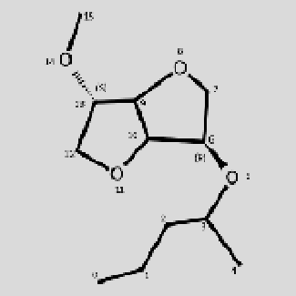 CCCC(C)O[C@@H]1COC2C1OC[C@@H]2OC